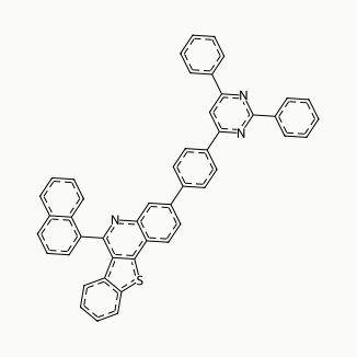 c1ccc(-c2cc(-c3ccc(-c4ccc5c(c4)nc(-c4cccc6ccccc46)c4c6ccccc6sc54)cc3)nc(-c3ccccc3)n2)cc1